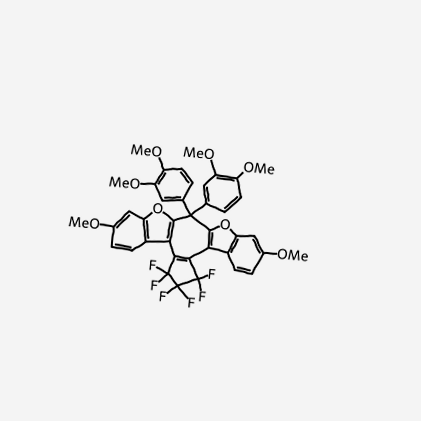 COc1ccc2c3c(oc2c1)C(c1ccc(OC)c(OC)c1)(c1ccc(OC)c(OC)c1)c1oc2cc(OC)ccc2c1C1=C3C(F)(F)C(F)(F)C1(F)F